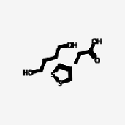 C1=CSSC1.CCC(=O)O.OCCCCO